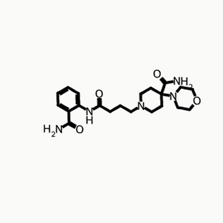 NC(=O)c1ccccc1NC(=O)CCCN1CCC(C(N)=O)(N2CCOCC2)CC1